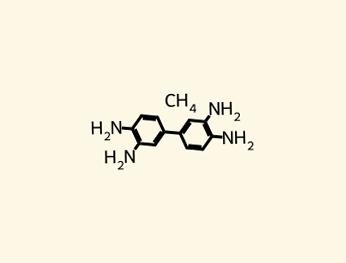 C.Nc1ccc(-c2ccc(N)c(N)c2)cc1N